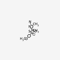 COc1ccc(N(C(=S)N(C)c2cnc(C#N)c(C)c2)C2(C=O)CCC2)cc1